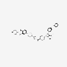 Nc1ncnc2c1c(-c1ccc(Oc3ccccc3)cc1)nn2C1CCC(C(=O)N2CC(C3CCN(c4ccc5c(c4)C(=O)N(C4CCC(=O)NC4=O)C5=O)CC3)C2)CC1